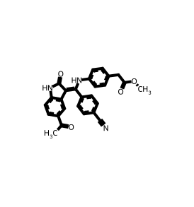 COC(=O)Cc1ccc(N/C(=C2\C(=O)Nc3ccc(C(C)=O)cc32)c2ccc(C#N)cc2)cc1